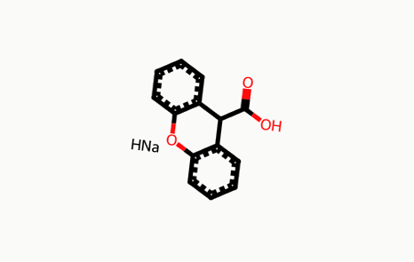 O=C(O)C1c2ccccc2Oc2ccccc21.[NaH]